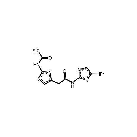 CC(C)c1cnc(NC(=O)Cc2csc(NC(=O)C(F)(F)F)n2)s1